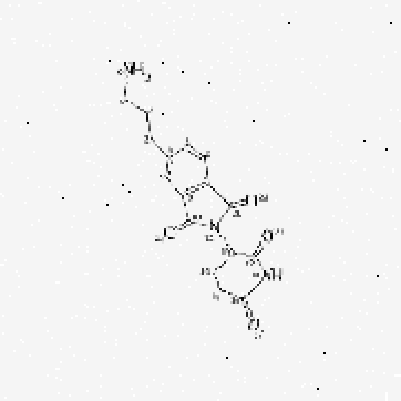 NCCCc1ccc2c(c1)C(=O)N(C1CCC(=O)NC1=O)C2=O